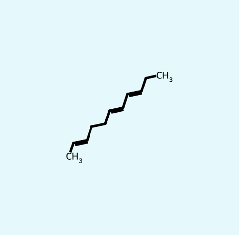 C/C=C/CC/C=C/C=C/CC